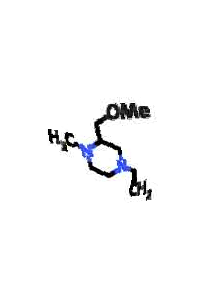 C=CN1CCN(C)C(COC)C1